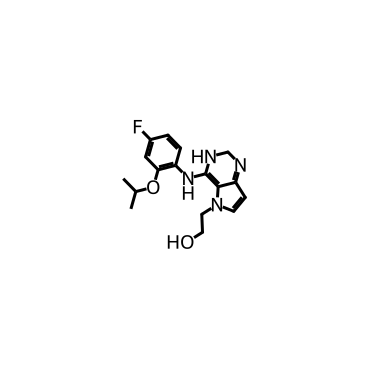 CC(C)Oc1cc(F)ccc1NC1=c2c(ccn2CCO)=NCN1